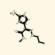 CCCON=C(C(=O)OC)c1csc(N)n1